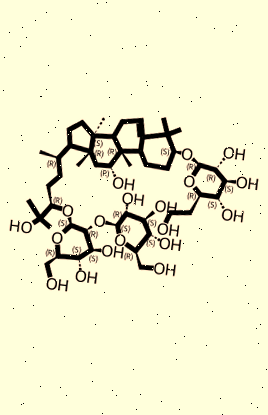 C[C@H](CC[C@@H](O[C@@H]1O[C@H](CO)[C@@H](O)[C@H](O)[C@H]1O[C@@H]1O[C@H](CO)[C@@H](O)[C@H](O)[C@H]1O)C(C)(C)O)C1CC[C@@]2(C)C3CC=C4C(CC[C@H](O[C@@H]5O[C@H](CCO)[C@@H](O)[C@H](O)[C@H]5O)C4(C)C)[C@]3(C)[C@H](O)C[C@]12C